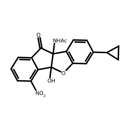 CC(=O)NC12C(=O)c3cccc([N+](=O)[O-])c3C1(O)Oc1cc(C3CC3)ccc12